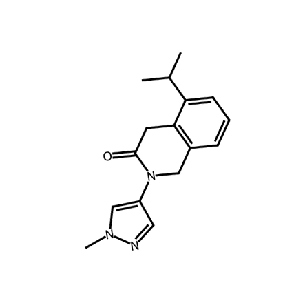 CC(C)c1cccc2c1CC(=O)N(c1cnn(C)c1)C2